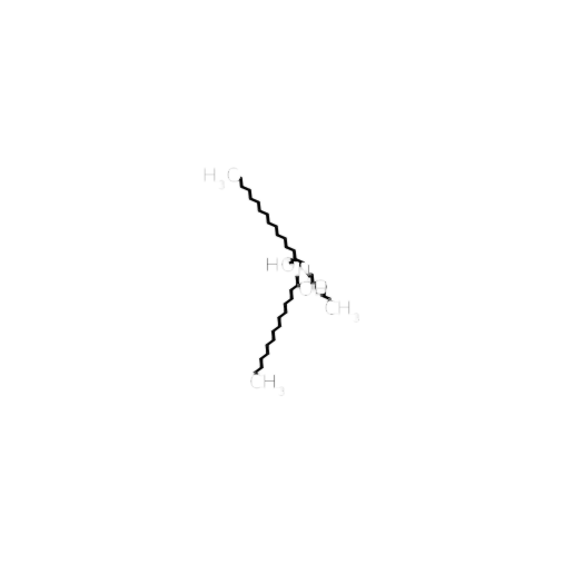 CCCCCCCCCCCCCCC(O)CN(CCOCCC)CC(O)CCCCCCCCCCCCCC